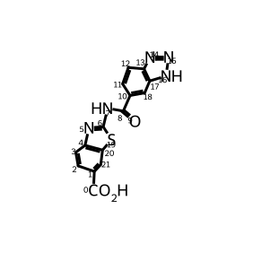 O=C(O)c1ccc2nc(NC(=O)c3ccc4nn[nH]c4c3)sc2c1